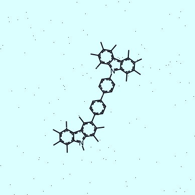 Cc1c(C)c(C)c2c(c1C)c1c(C)c(-c3ccc(-c4ccc(-n5c6c(C)c(C)c(C)c(C)c6c6c(C)c(C)c(C)c(C)c65)cc4)cc3)c(C)c(C)c1n2C